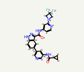 O=C(Nc1ccnc(N2CC(F)(F)C2)c1)c1n[nH]c2ccc(-c3cncc(NC(=O)C4CC4)c3)cc12